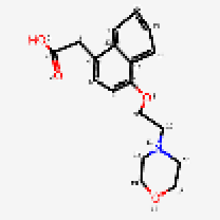 O=C(O)Cc1ccc(OCCN2CCOCC2)c2ccccc12